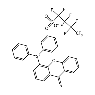 O=S(=O)([O-])C(F)(F)C(F)(F)C(F)(F)C(F)(F)F.S=c1c2ccccc2oc2c([S+](c3ccccc3)c3ccccc3)cccc12